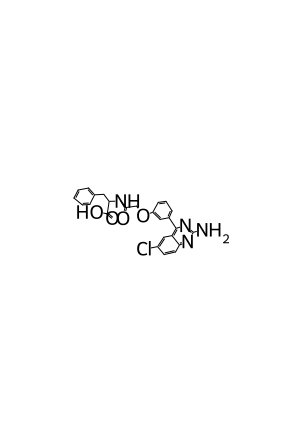 Nc1nc(-c2cccc(OCC(=O)NC(Cc3ccccc3)C(=O)O)c2)c2cc(Cl)ccc2n1